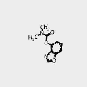 CN(C)C(=O)Oc1cccc2ocnc12